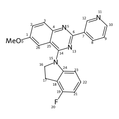 COc1ccc2nc(-c3cccnc3)nc(N3CCc4c(F)cccc43)c2c1